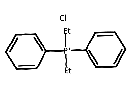 CC[P+](CC)(c1ccccc1)c1ccccc1.[Cl-]